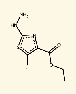 CCOC(=O)c1nc(NN)sc1Cl